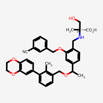 Cc1c(COC(C)c2ccc(CN[C@@](C)(CO)C(=O)O)c(OCc3cccc(C#N)c3)c2)cccc1-c1ccc2c(c1)OCCO2